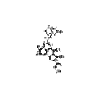 CC1C(N(C)c2nc(OC[C@@]34CCCN3C[C@H](F)C4)nc3c(I)c(Br)ccc23)CCN1C(=O)OC(C)(C)C